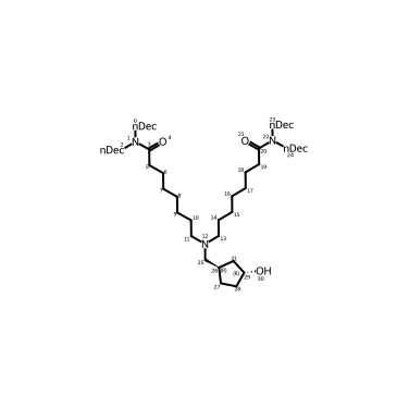 CCCCCCCCCCN(CCCCCCCCCC)C(=O)CCCCCCCN(CCCCCCCC(=O)N(CCCCCCCCCC)CCCCCCCCCC)C[C@@H]1CC[C@@H](O)C1